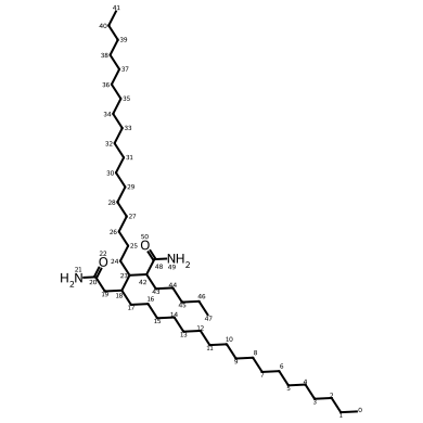 CCCCCCCCCCCCCCCCCCC(CC(N)=O)C(CCCCCCCCCCCCCCCCCC)C(CCCCC)C(N)=O